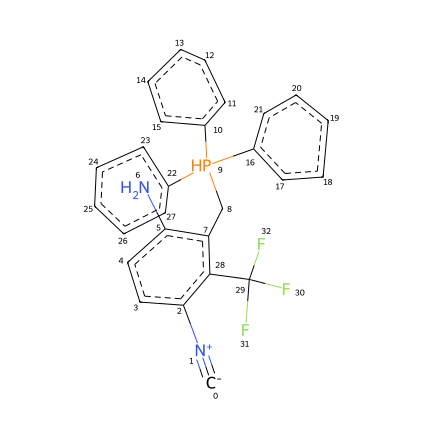 [C-]#[N+]c1ccc(N)c(C[PH](c2ccccc2)(c2ccccc2)c2ccccc2)c1C(F)(F)F